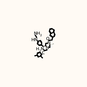 Cc1ccc(CC(N)CN2C[C@@H](C)N(C(=O)Cc3ccc4ccccc4c3)C[C@@H]2Cc2ccc(NCCN)cc2)c(C)c1